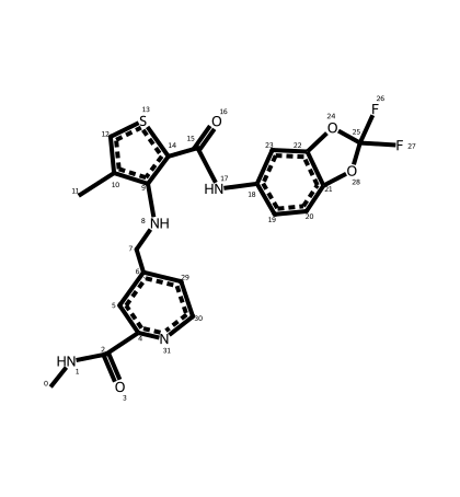 CNC(=O)c1cc(CNc2c(C)csc2C(=O)Nc2ccc3c(c2)OC(F)(F)O3)ccn1